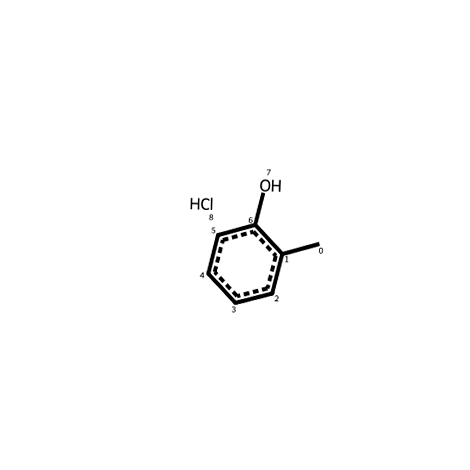 Cc1ccccc1O.Cl